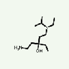 CCN(CCC(O)(CC)CCN)C(C)C